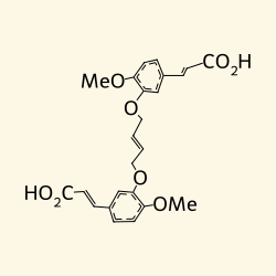 COc1ccc(/C=C/C(=O)O)cc1OC/C=C/COc1cc(/C=C/C(=O)O)ccc1OC